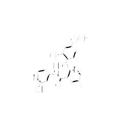 O=C(Nc1ccnc(Cl)c1)c1cc(C(F)(F)F)cnc1Oc1ccc(OC(F)(F)F)cc1Cl